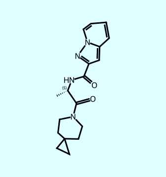 C[C@H](NC(=O)c1cc2ccccn2n1)C(=O)N1CCC2(CC1)CC2